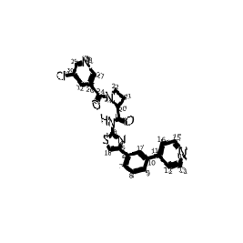 O=C(Nc1nc(-c2cccc(-c3ccncc3)c2)cs1)C1CCN1C(=O)c1cncc(Cl)c1